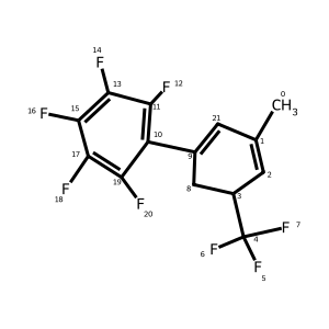 CC1=CC(C(F)(F)F)CC(c2c(F)c(F)c(F)c(F)c2F)=C1